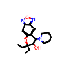 CCC1(CC)Oc2cc3nonc3cc2C(N2CCCCC2)C1O